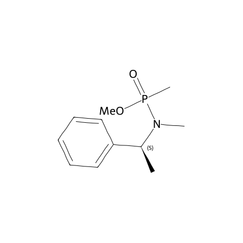 COP(C)(=O)N(C)[C@@H](C)c1ccccc1